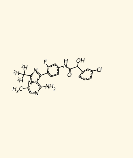 [2H]C([2H])([2H])c1nc(-c2ccc(NC(=O)C(O)c3cccc(Cl)c3)cc2F)c2c(N)ncc(C)n12